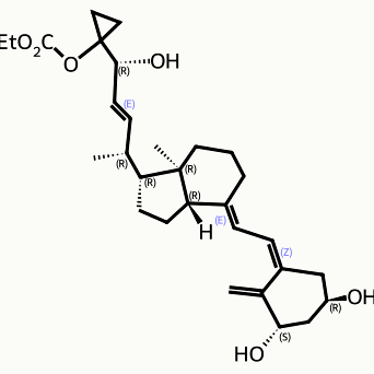 C=C1/C(=C\C=C2/CCC[C@]3(C)[C@@H]([C@H](C)/C=C/[C@@H](O)C4(OC(=O)OCC)CC4)CC[C@@H]23)C[C@@H](O)C[C@@H]1O